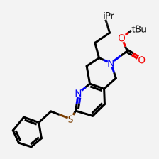 CC(C)CCC1Cc2nc(SCc3ccccc3)ccc2CN1C(=O)OC(C)(C)C